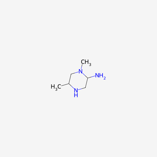 CC1CN(C)C(N)CN1